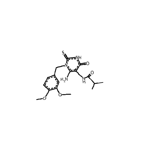 COc1ccc(Cn2c(N)c(NC(=O)C(C)C)c(=O)[nH]c2=S)cc1OC